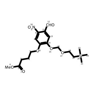 COC(=O)CCCOc1cc([N+](=O)[O-])c(C=O)cc1OCOCC[Si](C)(C)C